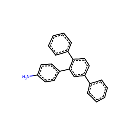 Nc1ccc(-c2cc(-c3ccccc3)ccc2-c2ccccc2)cc1